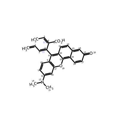 C=C/C=C(\C(=C/C)C(=O)O)c1c2ccc(N(C)C)cc2oc2c1ccc1cc(=O)ccc12